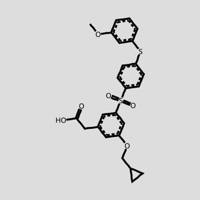 COc1cccc(Sc2ccc(S(=O)(=O)c3cc(CC(=O)O)cc(OCC4CC4)c3)cc2)c1